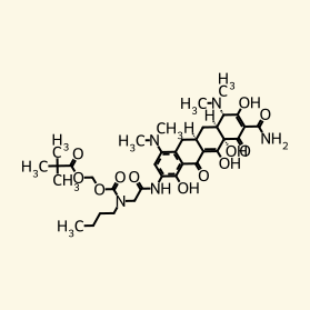 CCCCN(CC(=O)Nc1cc(N(C)C)c2c(c1O)C(=O)C1=C(O)[C@]3(O)C(=O)C(C(N)=O)=C(O)[C@@H](N(C)C)[C@@H]3C[C@@H]1C2)C(=O)OCOC(=O)C(C)(C)C